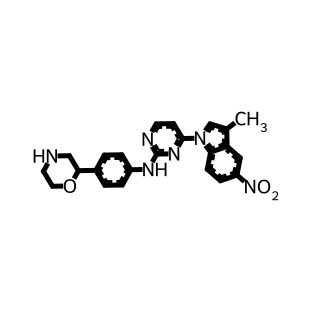 Cc1cn(-c2ccnc(Nc3ccc(C4CNCCO4)cc3)n2)c2ccc([N+](=O)[O-])cc12